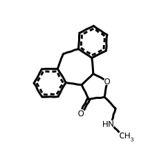 CNCC1OC2c3ccccc3Cc3ccccc3C2C1=O